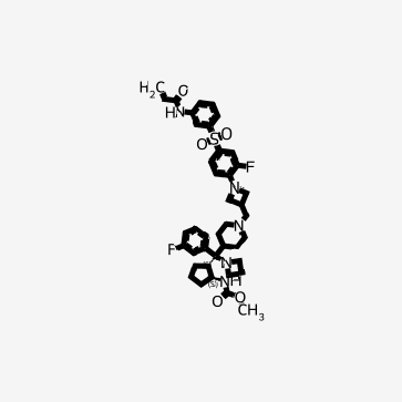 C=CC(=O)Nc1cccc(S(=O)(=O)c2ccc(N3CC(CN4CCC(C(c5cccc(F)c5)([C@H]5CCC[C@@H]5NC(=O)OC)N5CCC5)CC4)C3)c(F)c2)c1